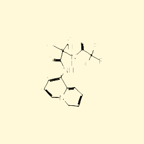 CC(Cl)(NC(=O)C(F)(F)F)C(=O)NC1=CC=CN2CC=CC=C12